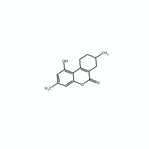 Cc1cc(O)c2c3c(c(=O)oc2c1)CC(C)CC3